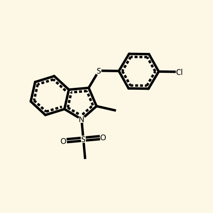 Cc1c(Sc2ccc(Cl)cc2)c2ccccc2n1S(C)(=O)=O